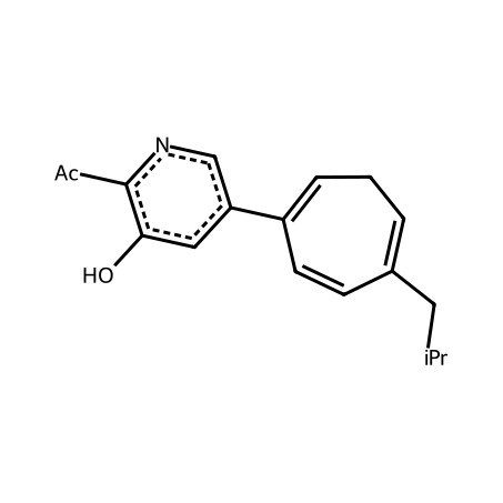 CC(=O)c1ncc(C2=CCC=C(CC(C)C)C=C2)cc1O